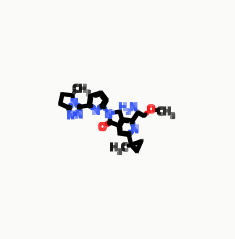 COC[C@@H](N)c1nc(C2(C)CC2)cc2c1CN(c1cccc(-c3nnc4n3[C@@H](C)CC4)n1)C2=O